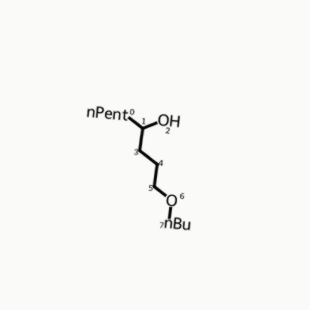 CCCCCC(O)CCCOCCCC